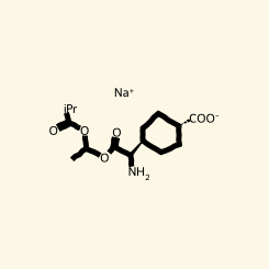 CC(OC(=O)C(C)C)OC(=O)C(N)[C@H]1CC[C@H](C(=O)[O-])CC1.[Na+]